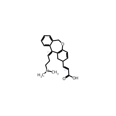 CN(C)CC/C=C1\C2=C(C=CC(/C=C/C(=O)O)C2)OCc2ccccc21